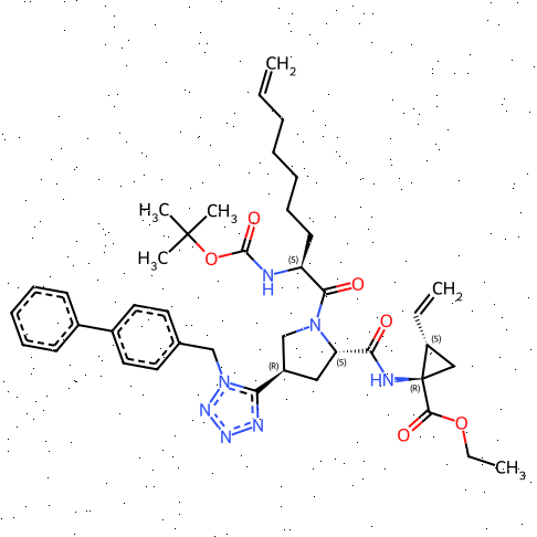 C=CCCCCC[C@H](NC(=O)OC(C)(C)C)C(=O)N1C[C@H](c2nnnn2Cc2ccc(-c3ccccc3)cc2)C[C@H]1C(=O)N[C@]1(C(=O)OCC)C[C@H]1C=C